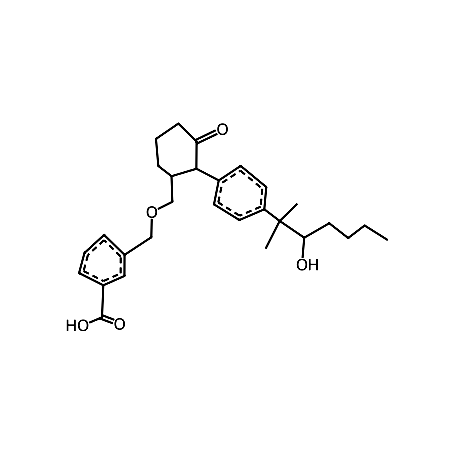 CCCCC(O)C(C)(C)c1ccc(C2C(=O)CCCC2COCc2cccc(C(=O)O)c2)cc1